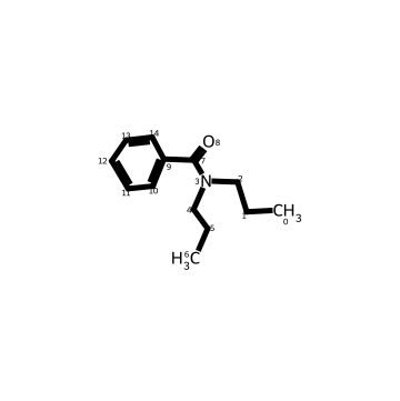 CCCN(CCC)C(=O)c1ccccc1